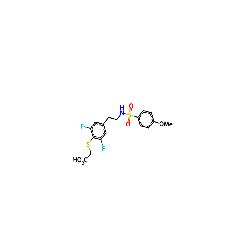 COc1ccc(S(=O)(=O)NCCc2cc(F)c(SCC(=O)O)c(F)c2)cc1